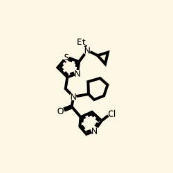 CCN(c1nc(CN(C(=O)c2ccnc(Cl)c2)C2CCCCC2)cs1)C1CC1